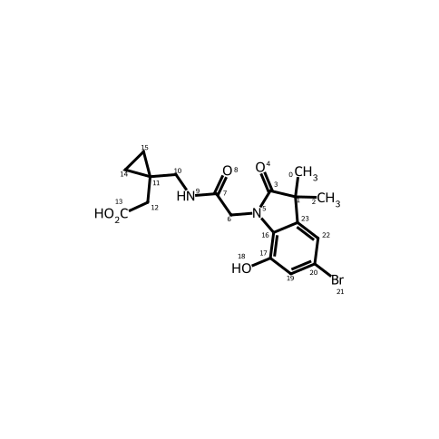 CC1(C)C(=O)N(CC(=O)NCC2(CC(=O)O)CC2)c2c(O)cc(Br)cc21